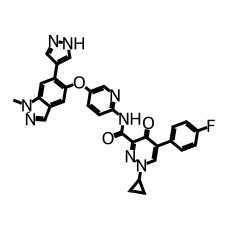 Cn1ncc2cc(Oc3ccc(NC(=O)c4nn(C5CC5)cc(-c5ccc(F)cc5)c4=O)nc3)c(-c3cn[nH]c3)cc21